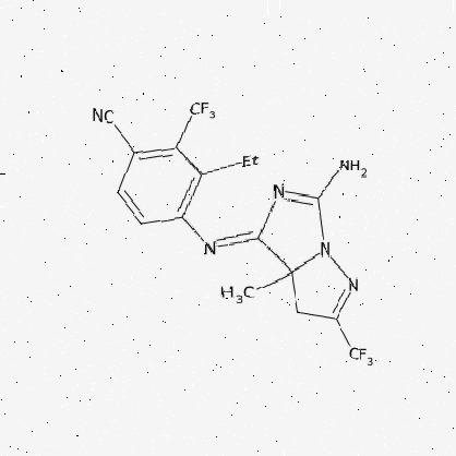 CCc1c(/N=C2\N=C(N)N3N=C(C(F)(F)F)CC23C)ccc(C#N)c1C(F)(F)F